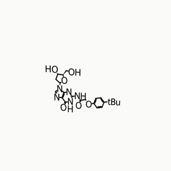 CC(C)(C)c1ccc(OCC(=O)Nc2nc3c(ncn3[C@H]3C[C@H](O)[C@@H](CO)O3)c(=O)[nH]2)cc1